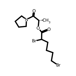 C[C@H](OC(=O)C(Br)CCCCBr)C(=O)N1CCCC1